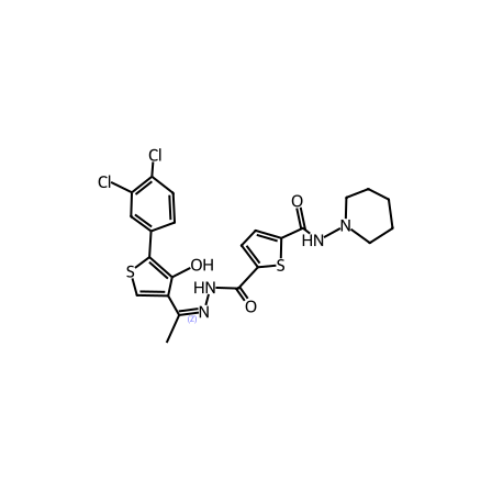 C/C(=N/NC(=O)c1ccc(C(=O)NN2CCCCC2)s1)c1csc(-c2ccc(Cl)c(Cl)c2)c1O